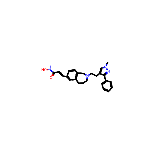 Cn1cc(CCN2CCCc3cc(C=CC(=O)NO)ccc3C2)c(-c2ccccc2)n1